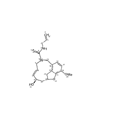 C=CCNC(=S)N1C/C=C/[C@H](O)CC2Cc3c(ccc(OC)c3O2)C1